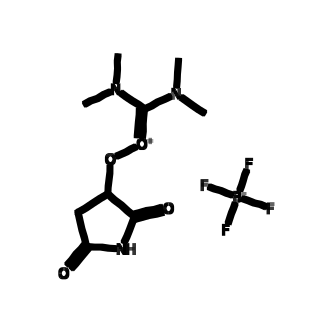 CN(C)C(=[O+]OC1CC(=O)NC1=O)N(C)C.F[B-](F)(F)F